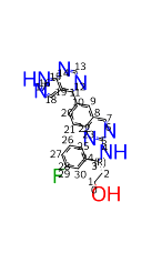 OCC[C@@H](Nc1ncc2cc(-c3ncnc4[nH]ncc34)ccc2n1)c1cccc(F)c1